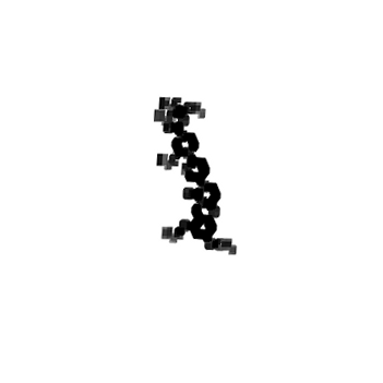 COc1ccc(CN2C(=O)CCN(c3ccc(N4CCN(C(=O)OC(C)(C)C)C[C@H]4C)nc3)C2=O)c(OC)c1